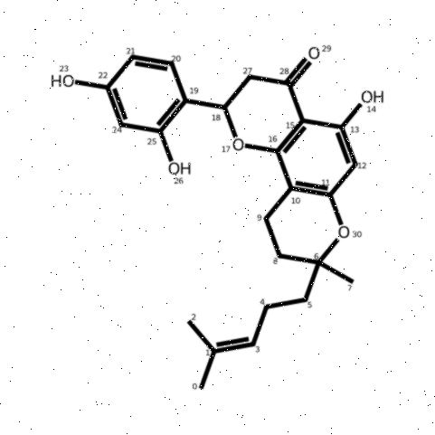 CC(C)=CCCC1(C)CCc2c(cc(O)c3c2OC(c2ccc(O)cc2O)CC3=O)O1